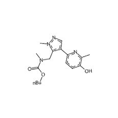 CCCCOC(=O)N(C)Cc1c(-c2ccc(O)c(C)n2)cnn1C